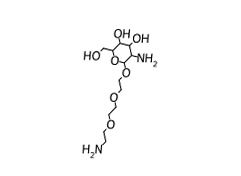 NCCOCCOCCOC1OC(CO)C(O)C(O)C1N